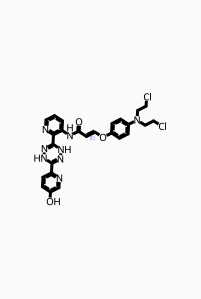 O=C(/C=C/Oc1ccc(N(CCCl)CCCl)cc1)Nc1cccnc1C1=NNC(c2ccc(O)cn2)=NN1